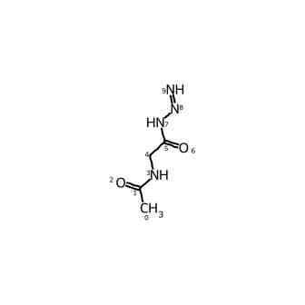 CC(=O)NCC(=O)NN=N